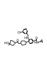 CC1(O)CCN(C(=O)CC2CCN(c3ccc(C(=O)NC4CC4)cc3NCc3cccc(Cl)c3)CC2)CC1